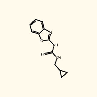 N=C(NCC1CC1)Nc1nc2ccccc2o1